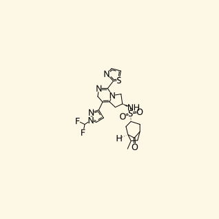 CC1CC2C[C@@H](S(=O)(=O)N[C@H]3CC4=C(c5ccn(C(F)F)n5)CN=C(c5nccs5)N4C3)C[C@H]1C2=O